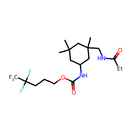 CCC(=O)NCC1(C)CC(NC(=O)OCCCC(F)(F)C(F)(F)F)CC(C)(C)C1